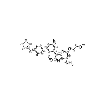 COCCOc1nc(N)c2nc(OC)n(-c3cc(F)cc(-c4ccc(CN5CCCC5)cc4)c3)c2n1